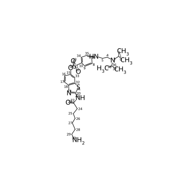 CC(C)N(CCNc1ccc(S(=O)(=O)Oc2ccc3nc(NC(=O)CCCCCCN)sc3c2)cc1)C(C)C